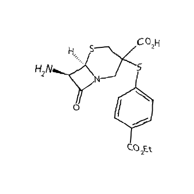 CCOC(=O)c1ccc(SC2(C(=O)O)CS[C@@H]3[C@H](N)C(=O)N3C2)cc1